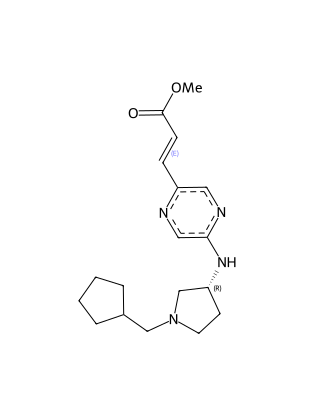 COC(=O)/C=C/c1cnc(N[C@@H]2CCN(CC3CCCC3)C2)cn1